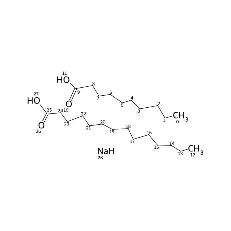 CCCCCCCCCC(=O)O.CCCCCCCCCCCCCC(=O)O.[NaH]